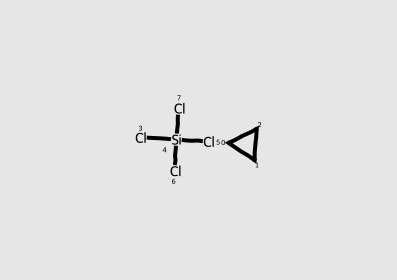 C1CC1.Cl[Si](Cl)(Cl)Cl